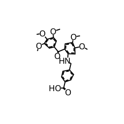 COc1cc(NCc2ccc(C(=O)O)cc2)c(C(=O)c2cc(OC)c(OC)c(OC)c2)cc1OC